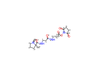 [2H]C1(C(=O)NCCC(=O)[15NH]C[13CH2][13C](=O)ON2C(=O)CCC2=O)CCCN1[13CH]([13CH3])[13CH3]